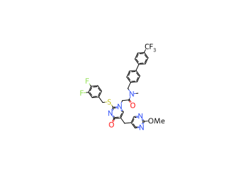 COc1ncc(Cc2cn(CC(=O)N(C)Cc3ccc(-c4ccc(C(F)(F)F)cc4)cc3)c(SCc3ccc(F)c(F)c3)nc2=O)cn1